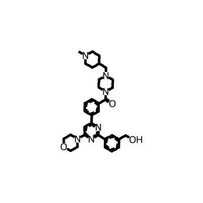 CN1CCC(CN2CCN(C(=O)c3cccc(-c4cc(N5CCOCC5)nc(-c5cccc(CO)c5)n4)c3)CC2)CC1